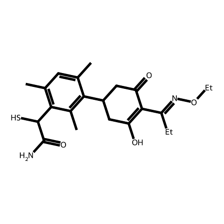 CCON=C(CC)C1=C(O)CC(c2c(C)cc(C)c(C(S)C(N)=O)c2C)CC1=O